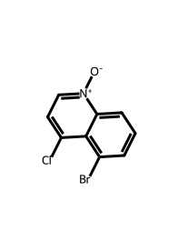 [O-][n+]1ccc(Cl)c2c(Br)cccc21